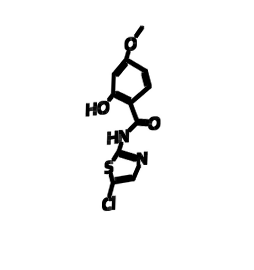 COc1ccc(C(=O)Nc2ncc(Cl)s2)c(O)c1